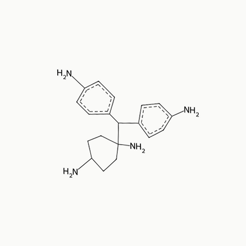 Nc1ccc(C(c2ccc(N)cc2)C2(N)CCC(N)CC2)cc1